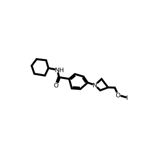 O=C(NC1CCCCC1)c1ccc(N2CC(COI)C2)cc1